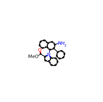 COC(=O)c1cc2ccccc2n1-c1c(-c2ccccc2)c(N)cc2ccccc12